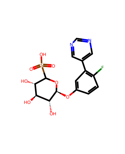 O=S(=O)(O)C1O[C@@H](Oc2ccc(F)c(-c3cncnc3)c2)[C@H](O)[C@@H](O)[C@@H]1O